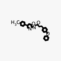 Cc1ccc(-c2cnc3nc(C(=O)CCc4ccc(Oc5ccccc5)cc4)oc3c2)cc1